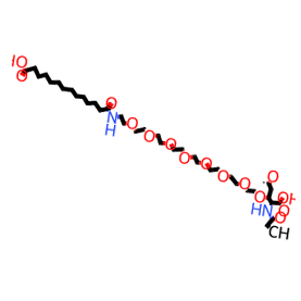 CCC(=O)N[C@H](C(=O)O)C(C[C]=O)OCCOCCOCCOCCOCCOCCOCCOCCNC(=O)CCCCCCCCCCCCC(=O)O